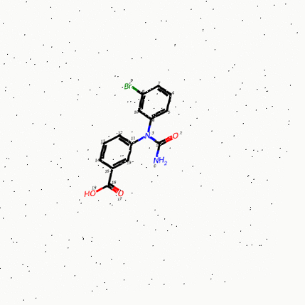 NC(=O)N(c1cccc(Br)c1)c1c[c]cc(C(=O)O)c1